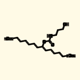 CCCCCCCCCCCCCCCCC(CCCCCCCCCCCCCCC)OC(=O)NCCCO